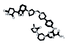 CN1CCN([C@@H]2CCCN(c3cnc(C(N)=O)c(Nc4ccc(C5CCN(C[C@H]6CCN(c7cccc8c(C9CCC(=O)NC9=O)noc78)C6)CC5)cc4)n3)C2)C1=O